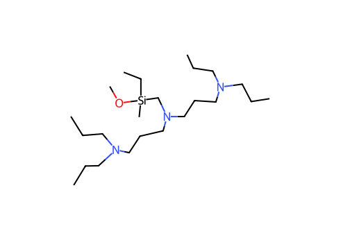 CCCN(CCC)CCCN(CCCN(CCC)CCC)C[Si](C)(CC)OC